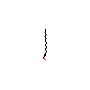 CCCCCCCCCCCCC#CC=O